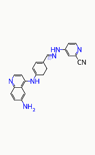 N#Cc1cc(N/N=C/C2=CC=C(Nc3ccnc4ccc(N)cc34)CC2)ccn1